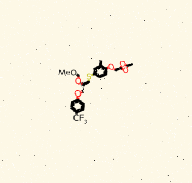 COCO[C@@H](COc1ccc(C(F)(F)F)cc1)CSc1ccc(OCC2OC(C)O2)c(C)c1